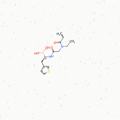 C=CC(=O)N(CC)CC(=O)N[C@@H](Cc1ccsc1)B(O)O